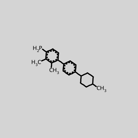 Cc1c(P)ccc(-c2ccc(C3CCC(C)CC3)cc2)c1C